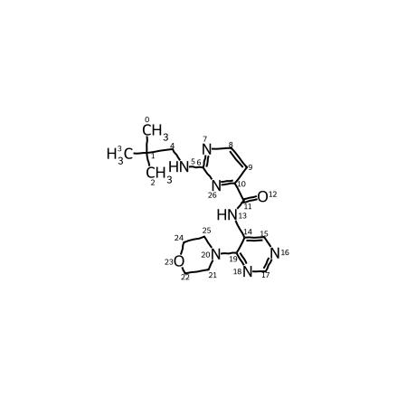 CC(C)(C)CNc1nccc(C(=O)Nc2cncnc2N2CCOCC2)n1